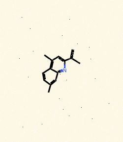 C=C(C)c1cc(C)c2ccc(C)cc2n1